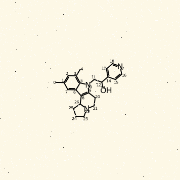 Cc1cc(C)c2c(c1)c1c(n2CC(O)c2ccncc2)CCN2CCCC12